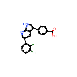 O=C(O)c1ccc(-c2c[nH]c3ncc(-c4cccc(Cl)c4Cl)cc23)cc1